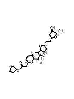 C=C1C[C@H](CC[C@@H]2C[C@H]3O[C@@H]4C(O[C@H]5CC[C@H](CC(=O)C[C@@H]6CCOC6)OC5[C@@H]4O)C3O2)O[C@H]1C